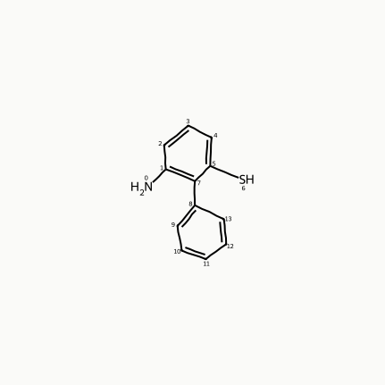 Nc1cccc(S)c1-c1ccccc1